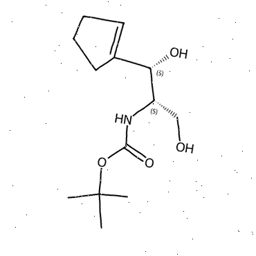 CC(C)(C)OC(=O)N[C@@H](CO)[C@@H](O)C1=CCCC1